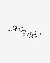 Cc1sc(N[S+]([O-])C2CC2)nc1C(C)(C)C(=O)Nc1ccc(-c2cncc(C(F)(F)F)n2)cc1